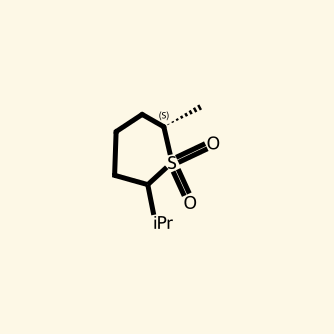 CC(C)C1CCC[C@H](C)S1(=O)=O